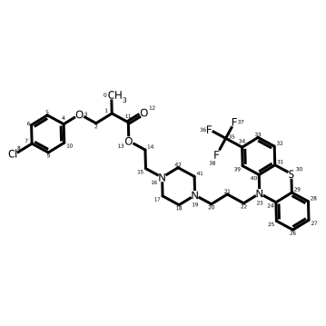 CC(COc1ccc(Cl)cc1)C(=O)OCCN1CCN(CCCN2c3ccccc3Sc3ccc(C(F)(F)F)cc32)CC1